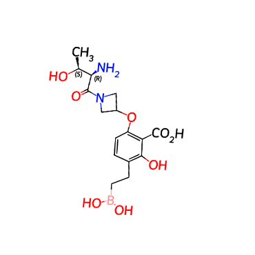 C[C@H](O)[C@@H](N)C(=O)N1CC(Oc2ccc(CCB(O)O)c(O)c2C(=O)O)C1